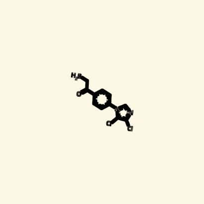 BCC(=O)c1ccc(-n2cnc(Cl)c2Cl)cc1